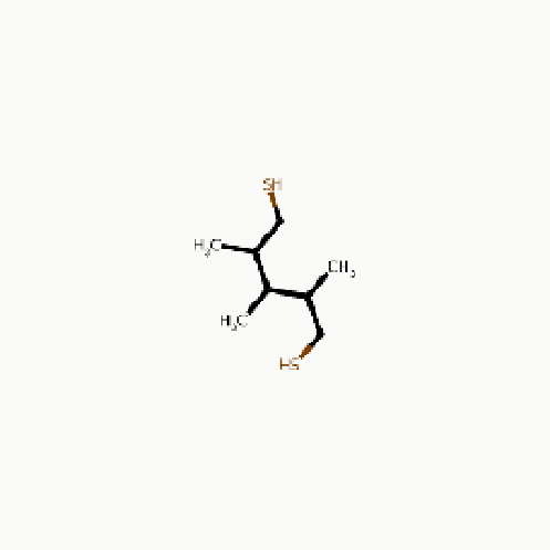 CC(CS)C(C)C(C)CS